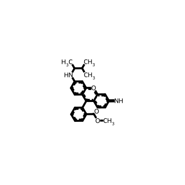 COC(=O)c1ccccc1-c1c2ccc(=N)cc-2oc2cc(NC(C)C(C)C)ccc12